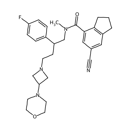 CN(CC(CCN1CC(N2CCOCC2)C1)c1ccc(F)cc1)C(=O)c1cc(C#N)cc2c1CCC2